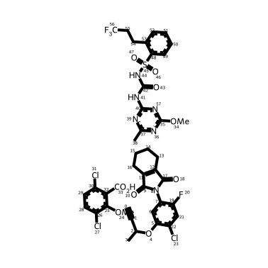 C#CC(C)Oc1cc(N2C(=O)C3=C(CCCC3)C2=O)c(F)cc1Cl.COc1c(Cl)ccc(Cl)c1C(=O)O.COc1nc(C)nc(NC(=O)NS(=O)(=O)c2ccccc2CCC(F)(F)F)n1